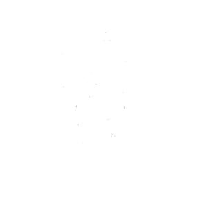 C=CCN1CCCC2C1Cc1ccc(O)cc1C2(C)c1ccccc1